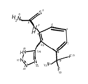 NC(=S)Nc1cccc(C(F)(F)F)c1-c1nnn[nH]1